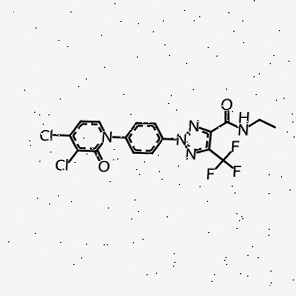 CCNC(=O)c1nn(-c2ccc(-n3ccc(Cl)c(Cl)c3=O)cc2)nc1C(F)(F)F